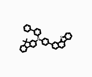 CC1(C)c2ccccc2-c2ccc(N(c3ccc(-c4ccc5ccc6c7ccccc7sc6c5c4)cc3)c3cccc(-c4ccccc4)c3)cc21